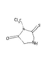 O=C1CNC(=S)N1C(Cl)(Cl)Cl